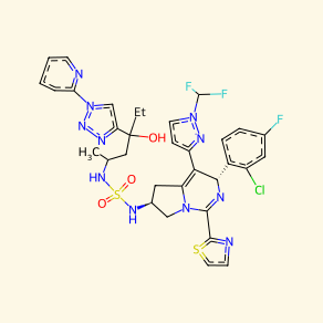 CCC(O)(CC(C)NS(=O)(=O)N[C@H]1CC2=C(c3ccn(C(F)F)n3)[C@H](c3ccc(F)cc3Cl)N=C(c3nccs3)N2C1)c1cn(-c2ccccn2)nn1